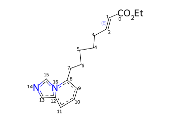 CCOC(=O)/C=C/CCCCCc1cccc2cncn12